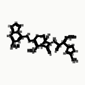 CON=C(C(=O)N[C@@H]1C(=O)N2C(C(=O)O)=C(CSc3cc(C(=O)O)nc4ncnn34)CS[C@H]12)c1csc(N)n1